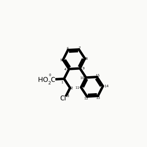 O=C(O)C(CCl)c1ccccc1-c1ccccc1